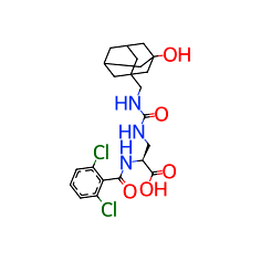 O=C(NC[C@H](NC(=O)c1c(Cl)cccc1Cl)C(=O)O)NCC12CC3CC(CC(O)(C3)C1)C2